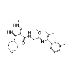 CN/C=C(\C(=N)C1CCOCC1)C(=O)NC/C(=N/C(=C(C)C)c1cccc(C)c1)OC